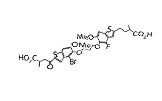 COc1cc2sc(CCC(C)C(=O)O)cc2c(F)c1OCCCOc1c(OC)cc2sc(C(=O)CC(C)C(=O)O)cc2c1Br